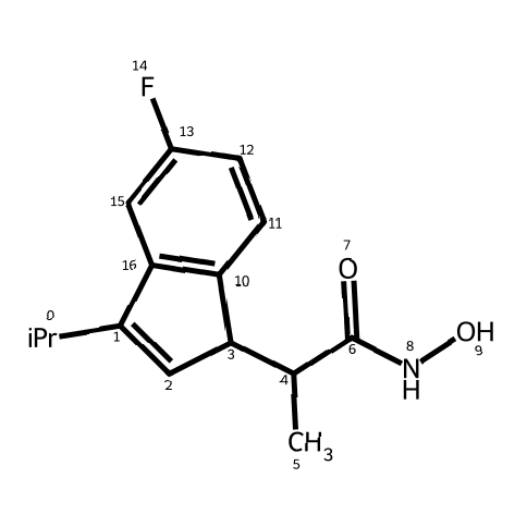 CC(C)C1=CC(C(C)C(=O)NO)c2ccc(F)cc21